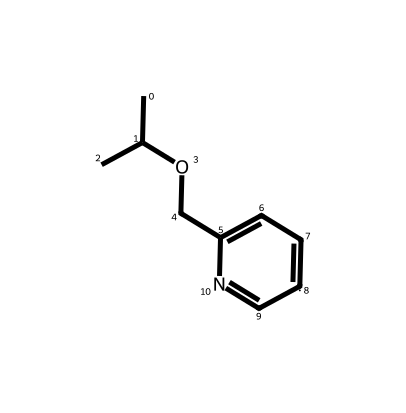 CC(C)OCc1cc[c]cn1